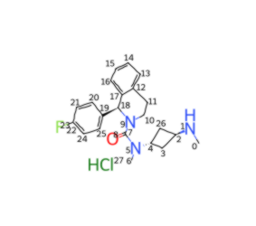 CN[C@H]1C[C@H](N(C)C(=O)N2CCc3ccccc3[C@@H]2c2ccc(F)cc2)C1.Cl